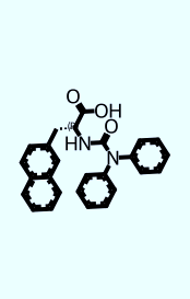 O=C(O)[C@@H](Cc1ccc2ccccc2c1)NC(=O)N(c1ccccc1)c1ccccc1